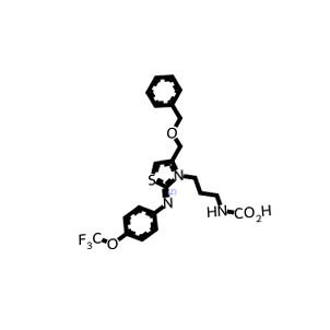 O=C(O)NCCCn1c(COCc2ccccc2)cs/c1=N\c1ccc(OC(F)(F)F)cc1